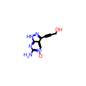 Nc1nc2[nH]nc(C#CCO)c2c[n+]1[O-]